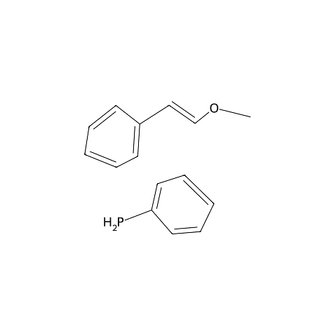 COC=Cc1ccccc1.Pc1ccccc1